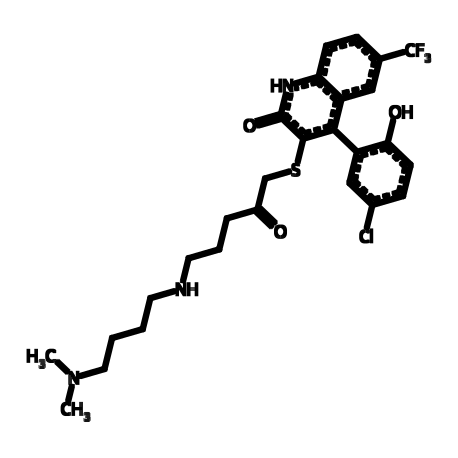 CN(C)CCCCNCCCC(=O)CSc1c(-c2cc(Cl)ccc2O)c2cc(C(F)(F)F)ccc2[nH]c1=O